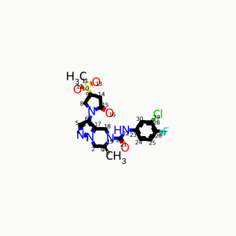 C[C@H]1Cn2ncc(N3CC(S(C)(=O)=O)CC3=O)c2CN1C(=O)Nc1ccc(F)c(Cl)c1